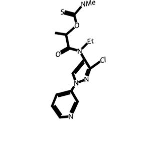 CCN(C(=O)C(C)OC(=S)NC)c1cn(-c2cccnc2)nc1Cl